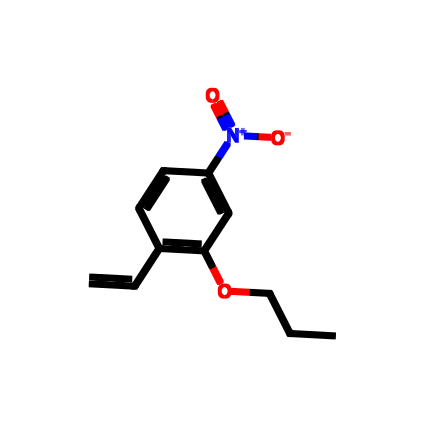 C=Cc1ccc([N+](=O)[O-])cc1OCCC